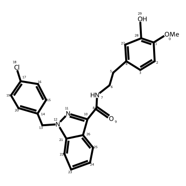 COc1ccc(CCNC(=O)c2nn(Cc3ccc(Cl)cc3)c3ccccc23)cc1O